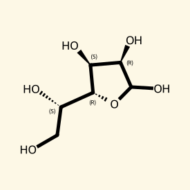 OC[C@H](O)[C@H]1OC(O)[C@H](O)[C@@H]1O